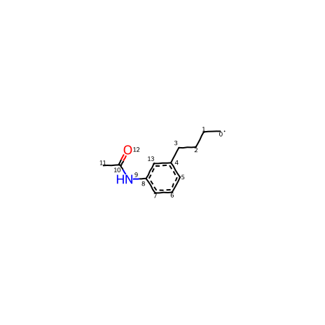 [CH2]CCCc1cccc(NC(C)=O)c1